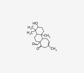 CC1=CCC2C(C=O)(CCC3C(C)(C)C(O)CCC23C)C(=O)C1